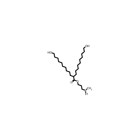 CCN(C)CCCOC(=O)C(CCCCCCCCCCO)CCCCCCCCCCO